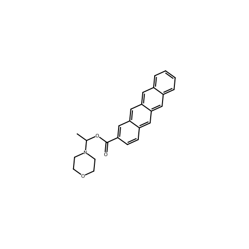 CC(OC(=O)c1ccc2cc3cc4ccccc4cc3cc2c1)N1CCOCC1